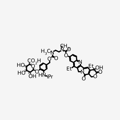 CCc1c2c(nc3ccc(OC(=O)N(C)CCN(C)C(=O)OCc4ccc(O[C@@H]5O[C@H](C(=O)O)[C@@H](O)[C@H](O)[C@H]5O)c(NC(C)C)c4)cc13)-c1cc3c(c(=O)n1C2)COC(=O)[C@]3(O)CC